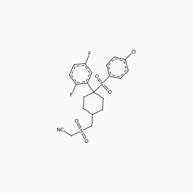 N#CCS(=O)(=O)CC1CCC(c2cc(F)ccc2F)(S(=O)(=O)c2ccc(Cl)cc2)CC1